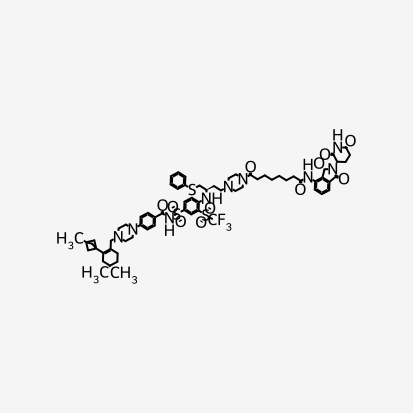 CC1(C)CCC(CN2CCN(c3ccc(C(=O)NS(=O)(=O)c4ccc(N[C@H](CCN5CCN(C(=O)CCCCCCC(=O)Nc6cccc7c6C(=O)N(C6CCC(=O)NC6=O)C7=O)CC5)CSc5ccccc5)c(S(=O)(=O)C(F)(F)F)c4)cc3)CC2)=C(C23CC(C)(C2)C3)C1